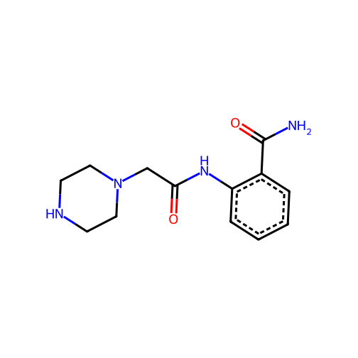 NC(=O)c1ccccc1NC(=O)CN1CCNCC1